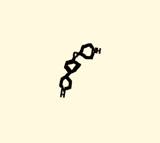 c1cc(C2CCNCC2)ccc1OC1CCNCC1